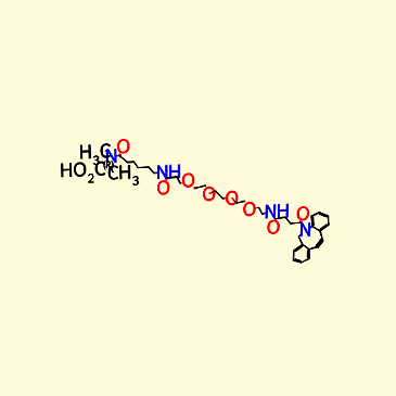 C[C@H](C(=O)O)N(C)C(=O)CCCCCNC(=O)CCOCCOCCOCCOCCNC(=O)CCC(=O)N1Cc2ccccc2C#Cc2ccccc21